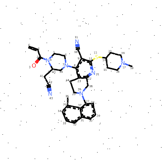 C=CC(=O)N1CCN(c2c(C#N)c(SC3CCN(C)CC3)nc3c2CCN(c2cccc4cccc(C)c24)C3)CC1CC#N